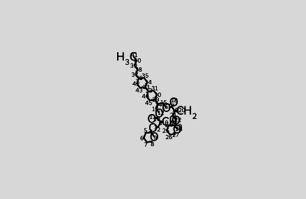 C=C(COC1CCCCO1)C(=O)OCC(COC(=O)C(=C)COC1CCCCO1)C1CCC(C2CCC(CCCCC)CC2)CC1